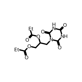 CCC(=O)OCC(Cn1c(=O)[nH]c(=O)[nH]c1=O)OC(=O)CC